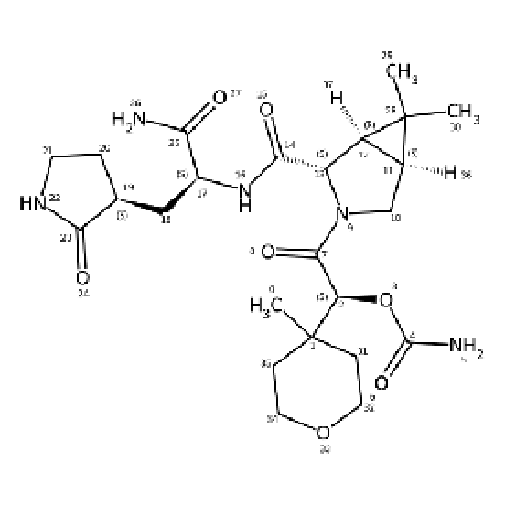 CC1([C@H](OC(N)=O)C(=O)N2C[C@H]3[C@@H]([C@H]2C(=O)N[C@@H](C[C@@H]2CCNC2=O)C(N)=O)C3(C)C)CCOCC1